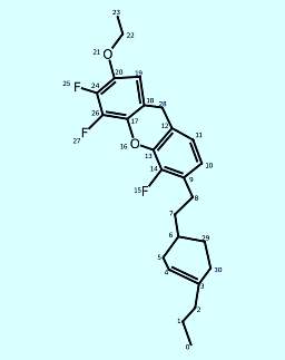 CCCC1=CCC(CCc2ccc3c(c2F)Oc2c(cc(OCC)c(F)c2F)C3)CC1